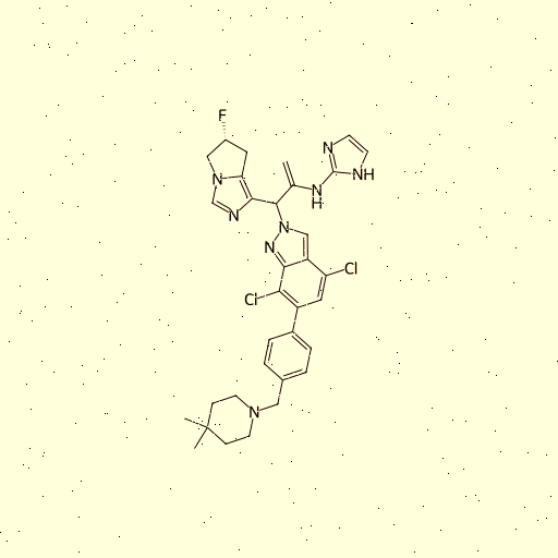 C=C(Nc1ncc[nH]1)C(c1ncn2c1C[C@@H](F)C2)n1cc2c(Cl)cc(-c3ccc(CN4CCC(C)(C)CC4)cc3)c(Cl)c2n1